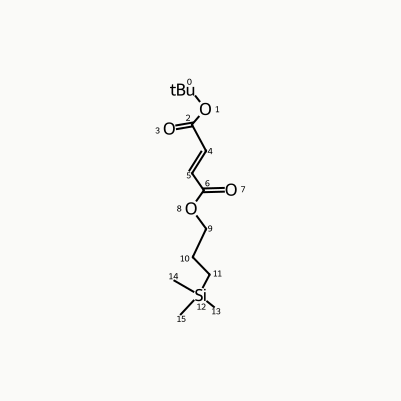 CC(C)(C)OC(=O)/C=C/C(=O)OCCC[Si](C)(C)C